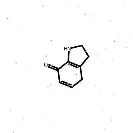 O=C1C=CCC2=C1NCC2